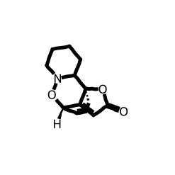 O=C1C=C2[C@@H]3C=CC[C@@]2(O1)C1CCCCN1O3